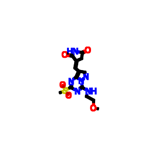 COCCNc1nc(S(C)(=O)=O)nc2c(/C=C3\CC(=O)NC3=O)cnn12